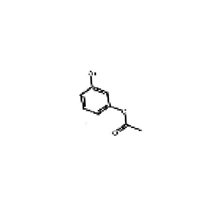 CC(=O)Oc1ccc[c]([Zn+])c1.[I-]